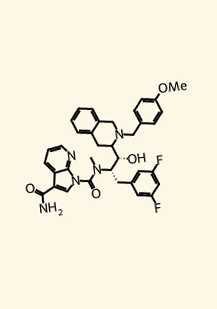 COc1ccc(CN2Cc3ccccc3CC2[C@H](O)[C@H](Cc2cc(F)cc(F)c2)N(C)C(=O)n2cc(C(N)=O)c3cccnc32)cc1